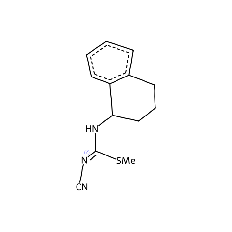 CS/C(=N\C#N)NC1CCCc2ccccc21